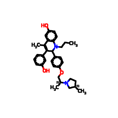 CCCN1c2ccc(O)cc2C(C)=C(c2cccc(O)c2)C1c1ccc(OC[C@H](C)N2CC[C@@H](C)C2)cc1